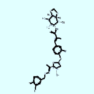 C/C(=C\c1ccc(O[C@H]2C[C@H](O)[C@@H](/C(C)=N/OCc3ccc(F)c(F)c3)O2)c(F)c1)C(=O)N[C@@H]1[C@H](O)[C@@H](O)[C@H]2OCO[C@H]2[C@@H]1O